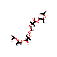 CC(C)OC(C)COC(=O)C(C)(C)OCOOC(C)(C)C(=O)OCC(C)OC(C)C